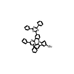 CC(C)(C)c1ccc2c(c1)c1ccccc1n2-c1ccc(-c2nc(-c3ccccc3)nc(-c3ccccc3)n2)cc1-c1nc(-c2ccccc2)cc(-c2ccccc2)n1